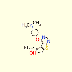 CCC(O)C[C@H]1CCc2sc3ncnc(O[C@H]4CC[C@H](N(C)C)CC4)c3c21